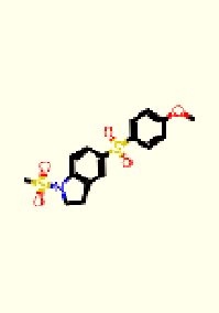 COc1ccc(S(=O)(=O)c2ccc3c(c2)CCN3S(C)(=O)=O)cc1